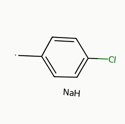 [CH2]c1ccc(Cl)cc1.[NaH]